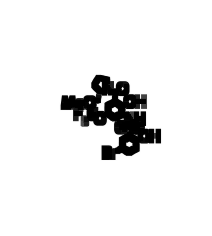 COC[C@H]1CCCN1C(=O)c1cc(OC(F)(F)F)cc(NS(=O)(=O)c2cc(Br)ccc2O)c1O